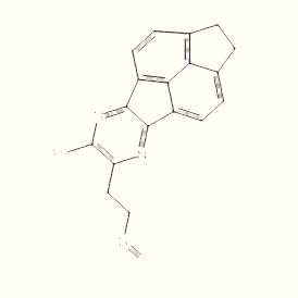 CCc1nc2c(nc1CCN=S)-c1ccc3c4c(ccc-2c14)CC3